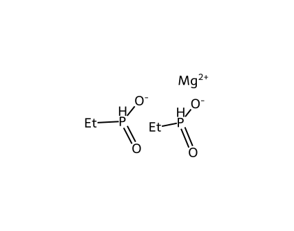 CC[PH](=O)[O-].CC[PH](=O)[O-].[Mg+2]